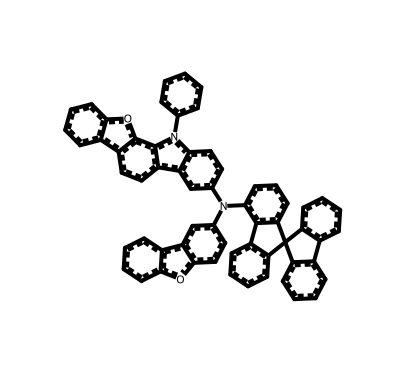 c1ccc(-n2c3ccc(N(c4ccc5oc6ccccc6c5c4)c4cccc5c4-c4ccccc4C54c5ccccc5-c5ccccc54)cc3c3ccc4c5ccccc5oc4c32)cc1